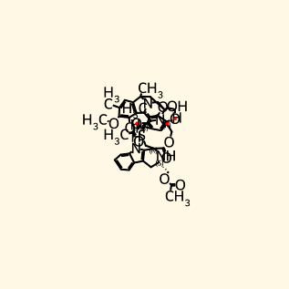 COc1c(C)cc2c(c1O)C1C3[C@@H]4SC[C@]5(N[C@H](COC(C)=O)Cc6c5[nH]c5ccccc65)C(=O)OC[C@@H](c5c6c(c(C)c(OC(C)=O)c54)OCO6)N3C3(O)CN1C2(C)C3